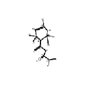 C=C(CC(=O)C(C)C)C1C(C)(C)C=C(C)CC1(C)C